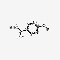 CCCCCCC(CCC)c1cnc(OCC)nc1